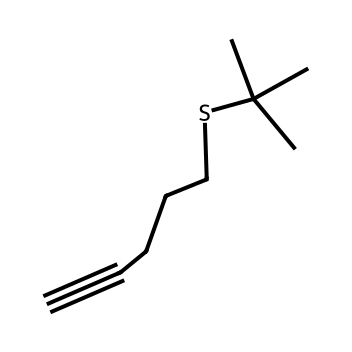 C#CCCCSC(C)(C)C